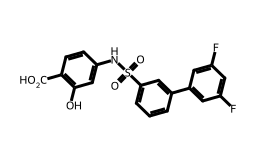 O=C(O)c1ccc(NS(=O)(=O)c2cccc(-c3cc(F)cc(F)c3)c2)cc1O